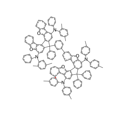 Cc1ccc(N(c2ccc(C)cc2)c2cc3c(c4c2oc2cc(-c5cccc(C6(c7ccccc7)c7cc(N(c8ccccc8)c8cc(C)ccc8C)c8c(oc9ccccc98)c7-c7c6cc(N(c6ccccc6)c6cc(C)ccc6C)c6oc8ccccc8c76)c5)ccc24)-c2c(cc(N(c4ccc(C)cc4)c4ccc(C)cc4)c4c2oc2ccccc24)C3(c2ccccc2)c2ccccc2)cc1